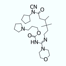 CC(CC(=O)N(C#N)C1CCCC1)C(C)(C)CCN=C(NC(=O)OCCCN1CCCC1)N1CCOCC1